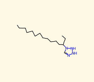 CCCCCCCCCCCCC(CC)N1C=NNN1